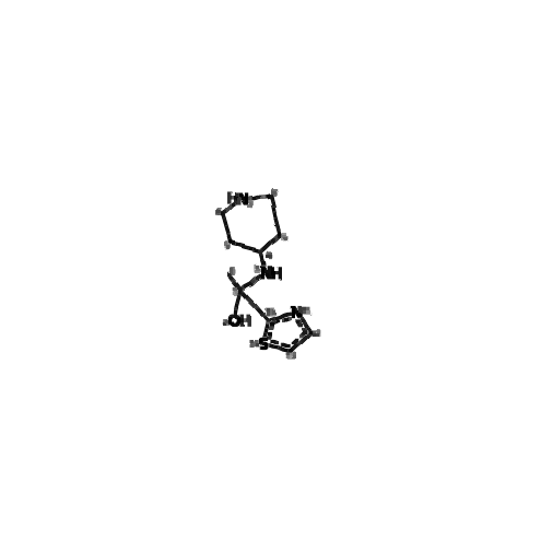 CC(O)(NC1CCNCC1)c1nccs1